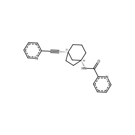 O=C(N[C@]12CCC[C@](C#Cc3ccccn3)(CC1)C2)c1ccccn1